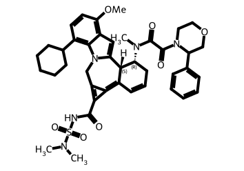 COc1ccc(C2CCCCC2)c2c1cc1n2CC2=C(C(=O)NS(=O)(=O)N(C)C)C2=C2C=CC[C@@H](N(C)C(=O)C(=O)N3CCOCC3c3ccccc3)[C@H]21